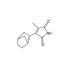 CC1=C(C2=C3CCC(C3)C2)C(=O)NC1=O